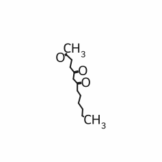 CCCCCCC(=O)CC(=O)CCC(C)=O